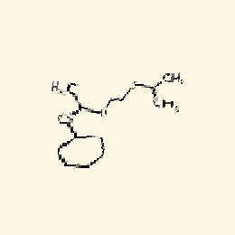 CC(OCCSC(C)C)OC1CCCCC1